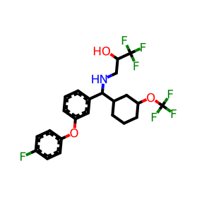 OC(CNC(c1cccc(Oc2ccc(F)cc2)c1)C1CCCC(OC(F)(F)F)C1)C(F)(F)F